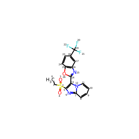 CCS(=O)(=O)c1nc2ccccn2c1-c1nc2cc(C(F)(F)F)ccc2o1